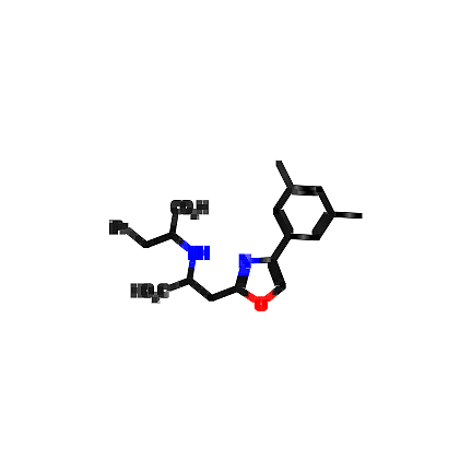 Cc1cc(C)cc(-c2coc(CC(NC(CC(C)C)C(=O)O)C(=O)O)n2)c1